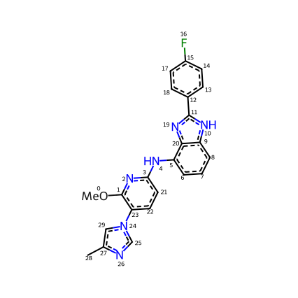 COc1nc(Nc2cccc3[nH]c(-c4ccc(F)cc4)nc23)ccc1-n1cnc(C)c1